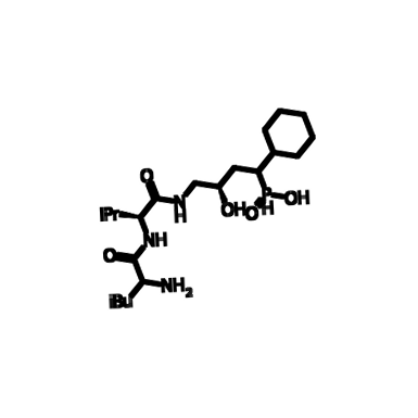 CCC(C)C(N)C(=O)N[C@H](C(=O)NC[C@H](O)CC(C1CCCCC1)[PH](=O)O)C(C)C